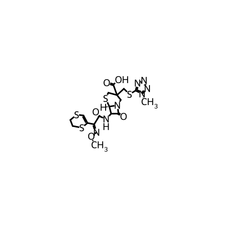 CON=C(C(=O)NC1C(=O)N2CC(CSc3nnnn3C)(C(=O)O)CS[C@H]12)C1=CSCCS1